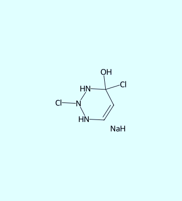 OC1(Cl)C=CNN(Cl)N1.[NaH]